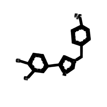 FC(F)(F)c1ccc(Cn2cnc(-c3ccc(Cl)c(Cl)c3)c2)cc1